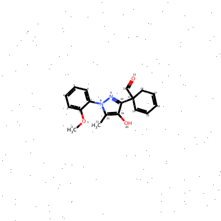 COc1ccccc1-n1nc(C2(C=O)C=CC=CC2)c(O)c1C